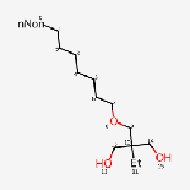 CCCCCCCCCCCCCCCCOCC(CC)(CO)CO